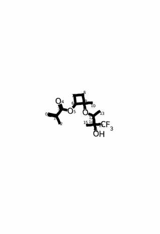 C=C(C)C(=O)OC1CCC1(C)OC(C)C(C)(O)C(F)(F)F